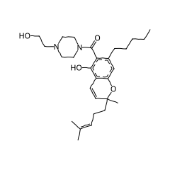 CCCCCc1cc2c(c(O)c1C(=O)N1CCN(CCO)CC1)C=CC(C)(CCC=C(C)C)O2